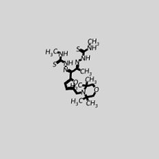 CNC(=S)N/N=C(C)/C(=N\NC(=S)NC)c1ccc(CN2C(C)(C)COCC2(C)C)o1